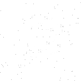 OCC12CC1CN(c1ccnc(-c3cnc4cnc(C(F)F)cn34)n1)C2